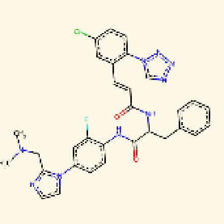 CN(C)Cc1nccn1-c1ccc(NC(=O)C(Cc2ccccc2)NC(=O)/C=C/c2cc(Cl)ccc2-n2cnnn2)c(F)c1